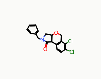 O=C1C2c3ccc(Cl)c(Cl)c3COC2CN1Cc1ccccc1